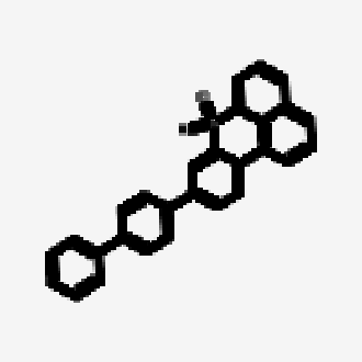 O=S1(=O)c2cc(-c3ccc(-c4ccccc4)cc3)ccc2-c2cccc3cccc1c23